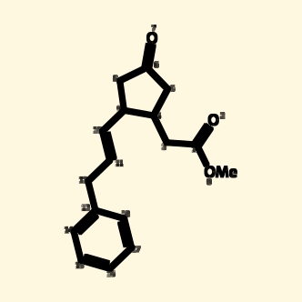 COC(=O)CC1CC(=O)CC1C=CCc1ccccc1